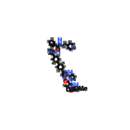 COC(=O)N[C@H](C(=O)N1CCC[C@H]1c1ncc(-c2ccc(-c3ccc(-c4cnc([C@@H]5C6CCC(C6)[C@H]5C(=O)NCCc5ccncc5)[nH]4)cc3)cc2)[nH]1)[C@@H](C)OC